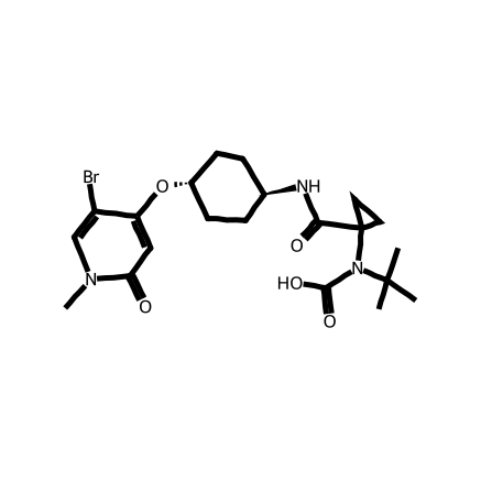 Cn1cc(Br)c(O[C@H]2CC[C@H](NC(=O)C3(N(C(=O)O)C(C)(C)C)CC3)CC2)cc1=O